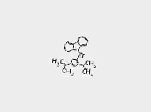 CC(C)C1=CC(C(C)C)=[C]([Zr][CH]2c3ccccc3-c3ccccc32)C1